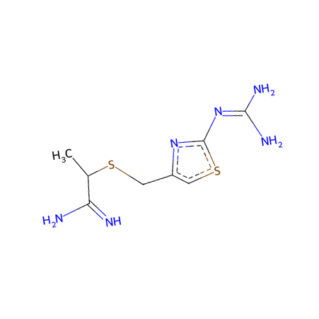 CC(SCc1csc(N=C(N)N)n1)C(=N)N